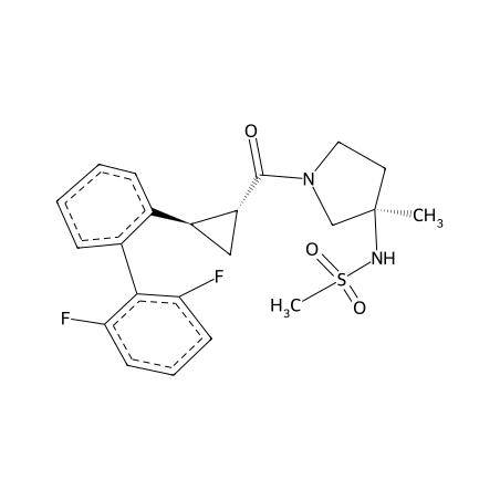 C[C@@]1(NS(C)(=O)=O)CCN(C(=O)[C@@H]2C[C@H]2c2ccccc2-c2c(F)cccc2F)C1